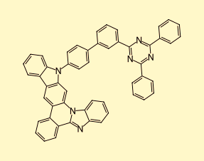 c1ccc(-c2nc(-c3ccccc3)nc(-c3cccc(-c4ccc(-n5c6ccccc6c6cc7c8ccccc8c8nc9ccccc9n8c7cc65)cc4)c3)n2)cc1